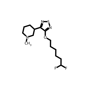 CN1CCCC(c2nsnc2OCCCCCC(F)F)C1